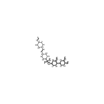 C=CC1CCC(/C=C/C2CCC(C(F)(F)Oc3ccc(-c4ccc(F)c(F)c4)c(F)c3)CC2)CC1